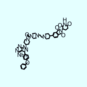 Nc1ncnc2c1c(-c1ccc(Oc3ccccc3)cc1)nn2C1CCN(C(=O)N2CCN(CCN3CCC(c4ccc5c(c4)C(=O)N(C4CCC(=O)NC4=O)C5=O)CC3)CC2)CC1